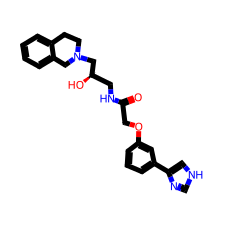 O=C(COc1cccc(-c2c[nH]cn2)c1)NC[C@@H](O)CN1CCc2ccccc2C1